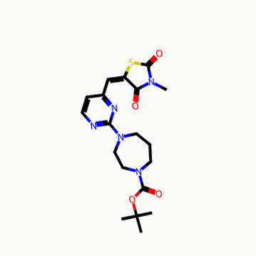 CN1C(=O)SC(=Cc2ccnc(N3CCCN(C(=O)OC(C)(C)C)CC3)n2)C1=O